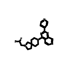 FC(F)CN1CCC2(CCN(c3nc(-c4ccncc4)nc4cnccc34)CC2)C1